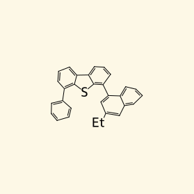 CCc1cc(-c2cccc3c2sc2c(-c4ccccc4)cccc23)c2ccccc2c1